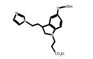 CCCCCCCCCCOc1ccc2c(c1)C(CCn1ccnc1)CN2CCC(=O)OCC